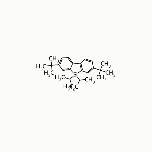 CC(C)[Si]1(C(C)C)c2cc(C(C)(C)C)ccc2-c2ccc(C(C)(C)C)cc21